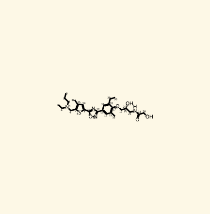 CCCN(CC)Cc1sc(-c2nc(-c3cc(C)c(OC[C@@H](O)CNC(=O)CO)c(CC)c3)no2)cc1C